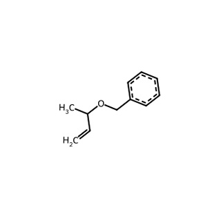 C=CC(C)OCc1ccccc1